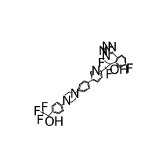 OC(c1ccc(N2CCN(c3ccc(-c4ccc(C(F)(F)C5(O)Cn6nnnc6-c6ccc(F)cc65)nc4)cc3)CC2)cc1)C(F)(F)F